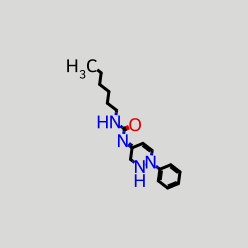 CCCCCCNC(=O)N=C1C=CN(c2ccccc2)NC1